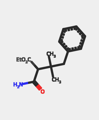 CCOC(=O)C(C(N)=O)C(C)(C)Cc1ccccc1